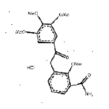 COc1cc(C(=O)Cc2cccc(C(N)=O)c2OC)cc(OC)c1OC.Cl